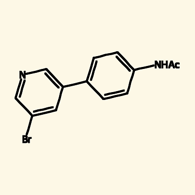 CC(=O)Nc1ccc(-c2cncc(Br)c2)cc1